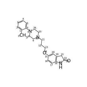 Cc1ccccc1N1CCN(CCCOc2ccc3c(c2)CC(=O)N3)CC1